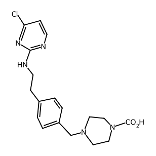 O=C(O)N1CCN(Cc2ccc(CCNc3nccc(Cl)n3)cc2)CC1